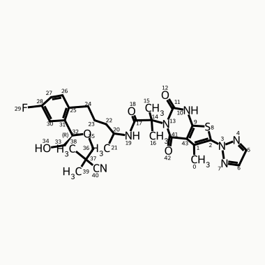 Cc1c(-n2nccn2)sc2[nH]c(=O)n(C(C)(C)C(=O)NC(C)CCCc3ccc(F)cc3[C@H](CO)OCC(C)(C)C#N)c(=O)c12